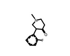 CN1CCC(=O)C(c2ccccc2F)C1